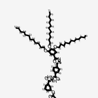 CCCCCCCCCCCCOc1cc(-c2nnc(-c3ccc(C(=O)NNC(=O)c4cccc(OC(C)=O)c4)cc3)o2)cc(OCCCCCCCCCCCC)c1OCCCCCCCCCCCC